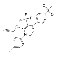 C#CCOC1=C(C(F)(F)F)C(c2ccc(S(C)(=O)=O)cc2)=CCN1c1ccc(F)cc1